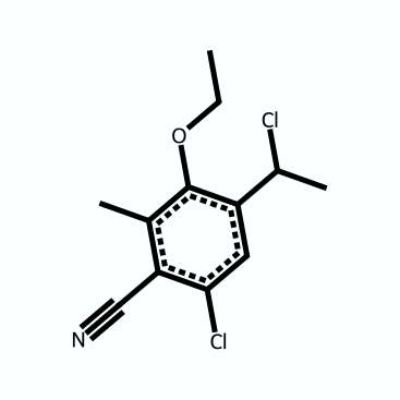 CCOc1c(C(C)Cl)cc(Cl)c(C#N)c1C